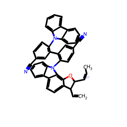 C=CC1c2ccc3c4ccccc4n(-c4ccc(C#N)cc4-c4cc(C#N)ccc4-n4c5ccccc5c5ccccc54)c3c2OC1/C=C\C